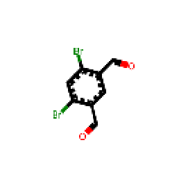 O=Cc1cc(C=O)c(Br)cc1Br